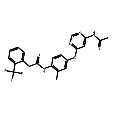 CC(=O)Nc1cc(Oc2ccc(NC(=O)Cc3ccccc3C(F)(F)F)c(C)c2)ncn1